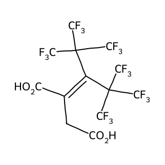 O=C(O)CC(C(=O)O)=C(C(C(F)(F)F)(C(F)(F)F)C(F)(F)F)C(C(F)(F)F)(C(F)(F)F)C(F)(F)F